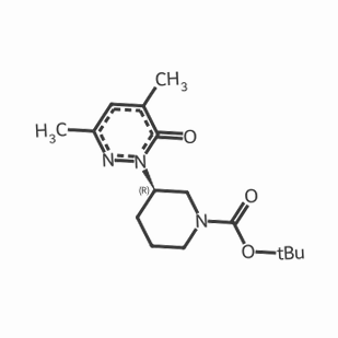 Cc1cc(C)c(=O)n([C@@H]2CCCN(C(=O)OC(C)(C)C)C2)n1